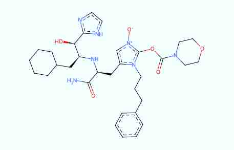 NC(=O)[C@H](Cc1c[n+]([O-])c(OC(=O)N2CCOCC2)n1CCCc1ccccc1)N[C@@H](CC1CCCCC1)[C@@H](O)c1ncc[nH]1